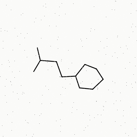 CC(C)C[CH]C1CCCCC1